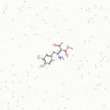 COC(=O)/C(C(C)=O)=C(\N)Cc1ccc(Cl)c(Cl)c1